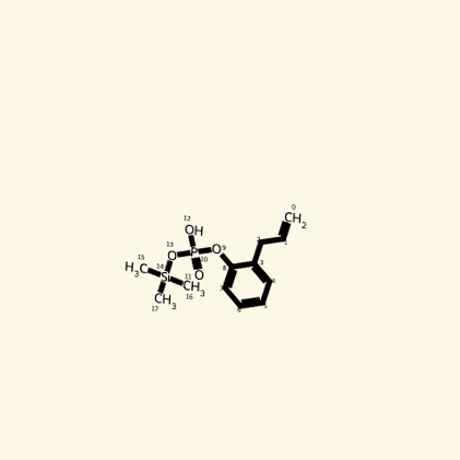 C=CCc1ccccc1OP(=O)(O)O[Si](C)(C)C